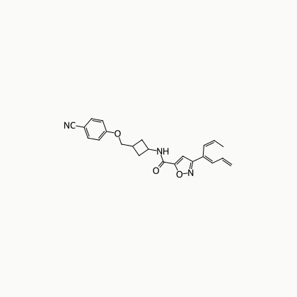 C=C/C=C(\C=C/C)c1cc(C(=O)NC2CC(COc3ccc(C#N)cc3)C2)on1